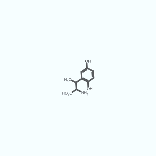 CC(c1cc(O)ccc1O)C(N)C(=O)O